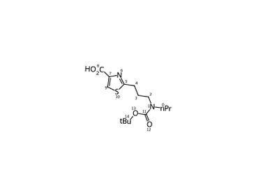 CCCN(CCCc1nc(C(=O)O)cs1)C(=O)OC(C)(C)C